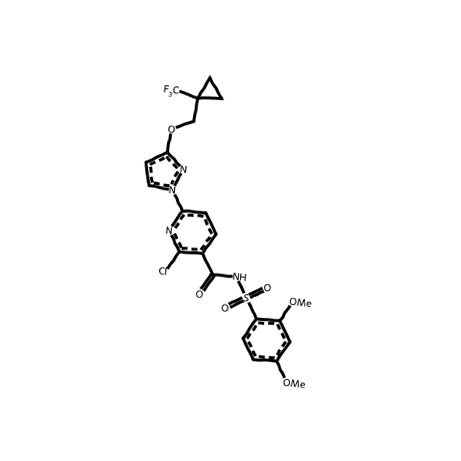 COc1ccc(S(=O)(=O)NC(=O)c2ccc(-n3ccc(OCC4(C(F)(F)F)CC4)n3)nc2Cl)c(OC)c1